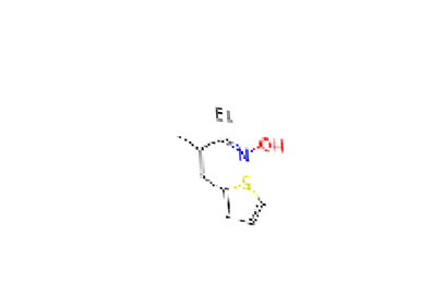 CCC(=NO)C(C)=Cc1cccs1